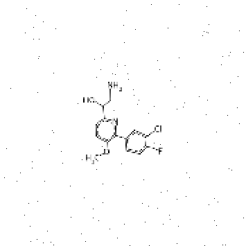 COc1ccc(C(O)CN)nc1-c1ccc(F)c(Cl)c1